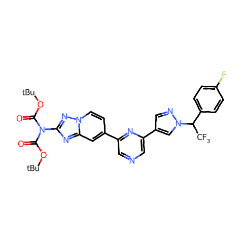 CC(C)(C)OC(=O)N(C(=O)OC(C)(C)C)c1nc2cc(-c3cncc(-c4cnn(C(c5ccc(F)cc5)C(F)(F)F)c4)n3)ccn2n1